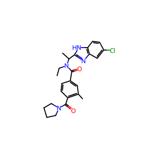 CCN(C(=O)c1ccc(C(=O)N2CCCC2)c(C)c1)C(C)c1nc2cc(Cl)ccc2[nH]1